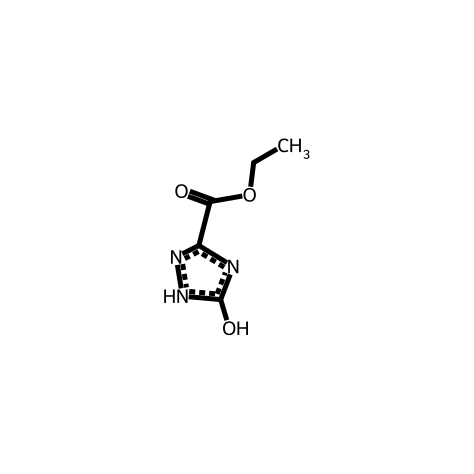 CCOC(=O)c1n[nH]c(O)n1